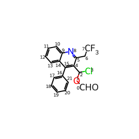 O=COC(Cl)c1c(CC(F)(F)F)nc2ccccc2c1-c1ccccc1